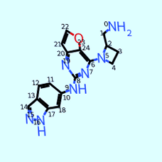 NCC1CCN1c1nc(Nc2ccc3cn[nH]c3c2)nc2ccoc12